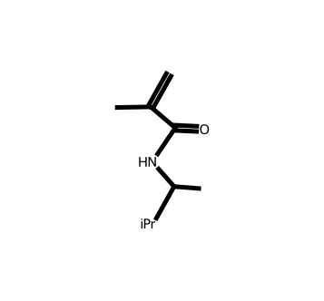 C=C(C)C(=O)NC(C)C(C)C